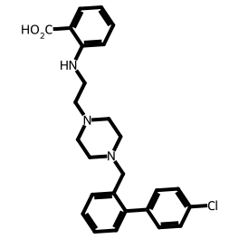 O=C(O)c1ccccc1NCCN1CCN(Cc2ccccc2-c2ccc(Cl)cc2)CC1